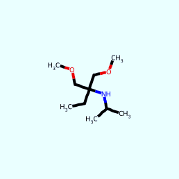 CCC(COC)(COC)NC(C)C